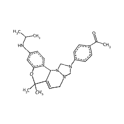 CC(=O)c1ccc(N2CN3CC=C4C(c5ccc(NC(C)C)cc5OC4(C)C)N3C2)cc1